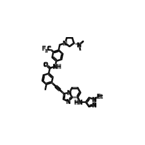 CCn1cc(Nc2cccn3c(C#Cc4cc(C(=O)Nc5ccc(CN6CC[C@H](N(C)C)C6)c(C(F)(F)F)c5)ccc4C)cnc23)cn1